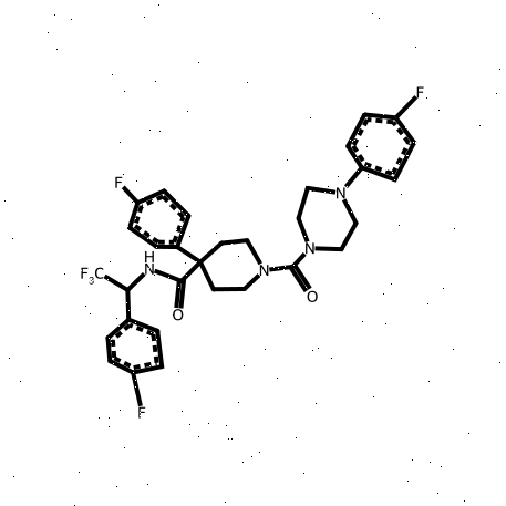 O=C(N1CCN(c2ccc(F)cc2)CC1)N1CCC(C(=O)NC(c2ccc(F)cc2)C(F)(F)F)(c2ccc(F)cc2)CC1